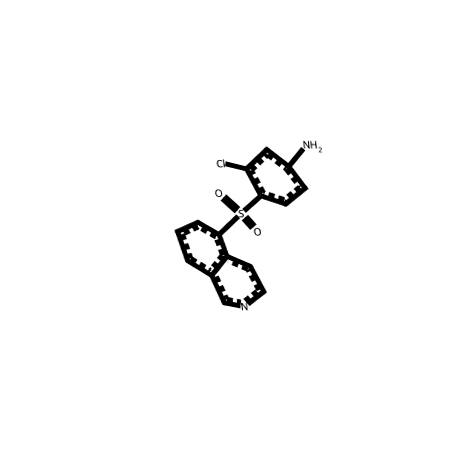 Nc1ccc(S(=O)(=O)c2cccc3cnccc23)c(Cl)c1